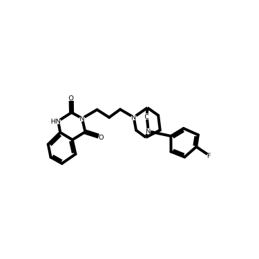 O=c1[nH]c2ccccc2c(=O)n1CCCN1CC2CCC1CN2c1ccc(F)cc1